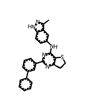 Cc1n[nH]c2ccc(Nc3nc(-c4cccc(-c5ccccc5)c4)nc4c3SCC4)cc12